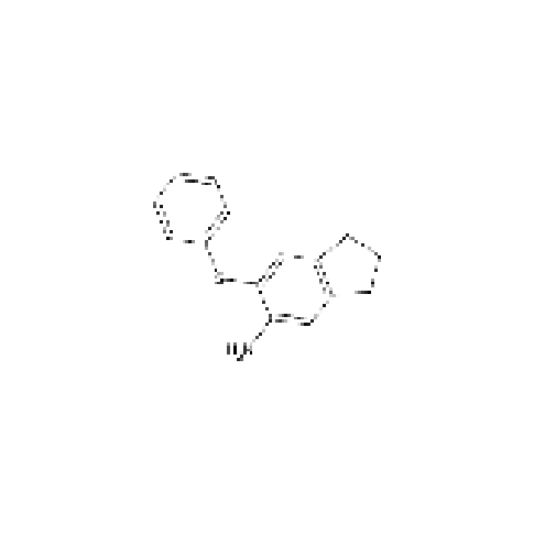 Nc1cc2c(cc1Sc1ccccc1)CCC2